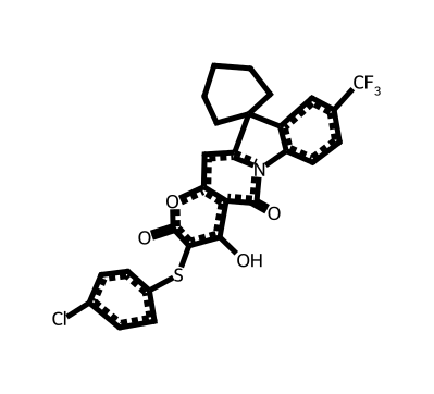 O=c1oc2cc3n(c(=O)c2c(O)c1Sc1ccc(Cl)cc1)-c1ccc(C(F)(F)F)cc1C31CCCCC1